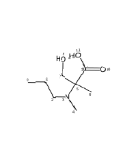 CCCN(C)C(C)(CO)C(=O)O